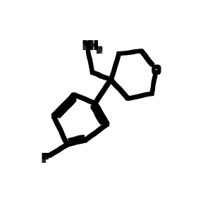 NCC1(c2ccc(F)cc2)CCOCC1